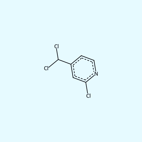 Clc1cc(C(Cl)Cl)ccn1